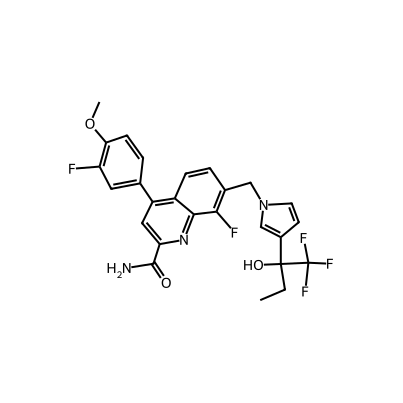 CCC(O)(c1ccn(Cc2ccc3c(-c4ccc(OC)c(F)c4)cc(C(N)=O)nc3c2F)c1)C(F)(F)F